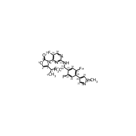 C[C@H](F)c1coc(=O)n1-c1nc(N[C@@H](C)c2cc(F)c(-c3cnn(C)c3)cc2F)ncc1F